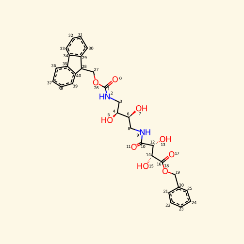 O=C(NC[C@H](O)[C@@H](O)CNC(=O)[C@H](O)[C@@H](O)C(=O)OCc1ccccc1)OCC1c2ccccc2-c2ccccc21